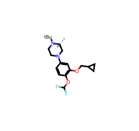 C[C@@H]1CN(c2ccc(OC(F)F)c(OCC3CC3)c2)CCN1C(C)(C)C